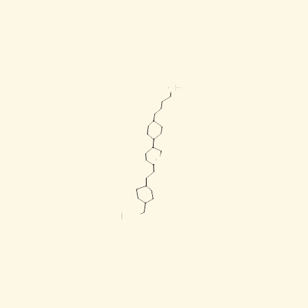 CCCCCC1CCC(C2CCC(CCC3CCC(CC)CC3)OC2)CC1